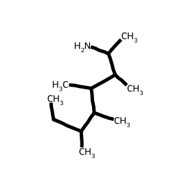 CCC(C)C(C)C(C)C(C)C(C)N